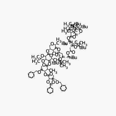 CC[C@H](C)[C@H](C[C@@H](CC(=O)O[C@H]1C(C)OCC(O[C@@H]2OC(C)[C@H](O[C@@H]3OC[C@@H](OCc4ccccc4)C(O[C@@H]4OC[C@@]5(COCc6ccccc6)O[C@@H](c6ccccc6)OC45)C3C)C3OC(C)(C)OC32)C1C)O[Si](C)(C)C(C)(C)C)OC(=O)C[C@H](C[C@H](O[C@@H]1O[C@@H](CO[Si](C)(C)C(C)(C)C)C(O[Si](C)(C)C(C)(C)C)C1C)[C@@H](C)CC)O[Si](C)(C)C(C)(C)C